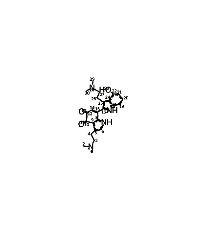 CN(C)CCc1c[nH]c2c1C(=O)C(=O)C=C2c1[nH]c2cccc(O)c2c1CCN(C)C